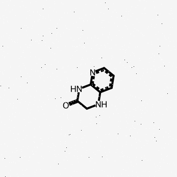 O=C1CNc2cccnc2N1